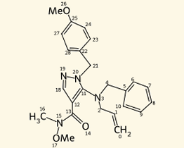 C=CCN(Cc1ccccc1)c1c(C(=O)N(C)OC)cnn1Cc1ccc(OC)cc1